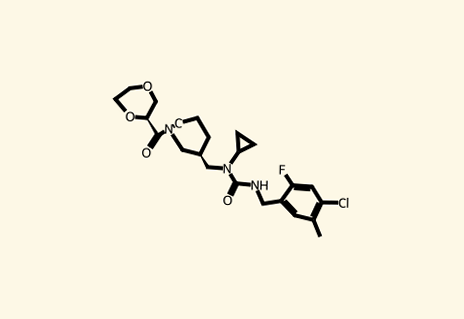 Cc1cc(CNC(=O)N(C[C@@H]2CCCN(C(=O)[C@@H]3COCCO3)C2)C2CC2)c(F)cc1Cl